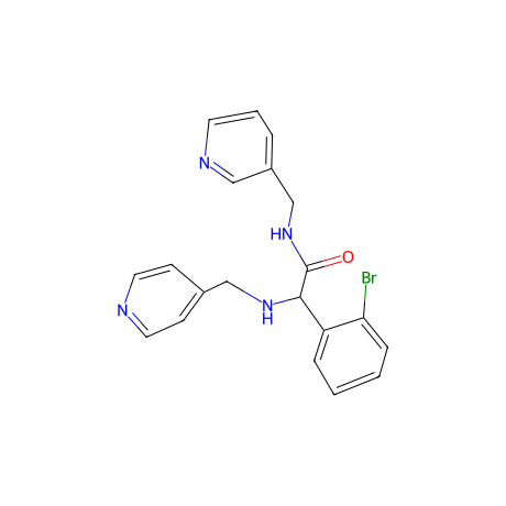 O=C(NCc1cccnc1)C(NCc1ccncc1)c1ccccc1Br